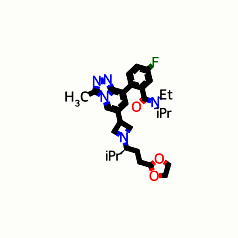 CCN(C(=O)c1cc(F)ccc1-c1cc(C2CN([C@H](CCC3OCCO3)C(C)C)C2)cn2c(C)nnc12)C(C)C